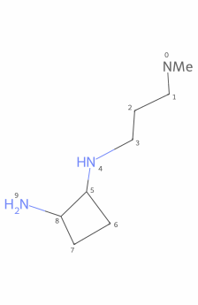 CNCCCNC1CCC1N